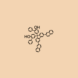 Oc1ccc(C2(c3ccc(O)c(-c4ccccc4)c3)c3ccc(-c4ccc5ccccc5c4)cc3-c3cc(-c4ccc5ccccc5c4)ccc32)cc1-c1ccccc1